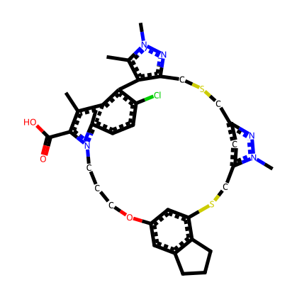 Cc1c(C(=O)O)n2c3ccc(Cl)c(c13)-c1c(nn(C)c1C)CSCc1cc(n(C)n1)CSc1cc(cc3c1CCC3)OCCC2